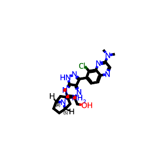 CN(C)c1cnc2ccc(-c3n[nH]c4nc(N5[C@@H]6CC[C@H]5C[C@@](C)(N)C6)c(CO)nc34)c(Cl)c2n1